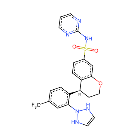 O=S(=O)(Nc1ncccn1)c1ccc2c(c1)OCC[C@H]2c1ccc(C(F)(F)F)cc1N1NC=CN1